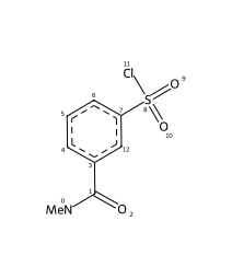 CNC(=O)c1cccc(S(=O)(=O)Cl)c1